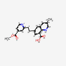 COC(=O)c1ccnc(CCc2cc(C(=O)O)c3ncc(C)cc3c2)c1